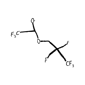 [O]C(OCC(F)(F)C(F)(F)F)C(F)(F)F